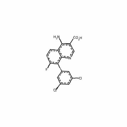 Nc1c(C(=O)O)cnc2c(-c3cc(Cl)cc(Cl)c3)c(F)ccc12